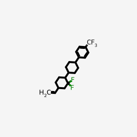 C=CC1CCC(C2CCC(c3ccc(C(F)(F)F)cc3)CC2)C(F)(F)C1